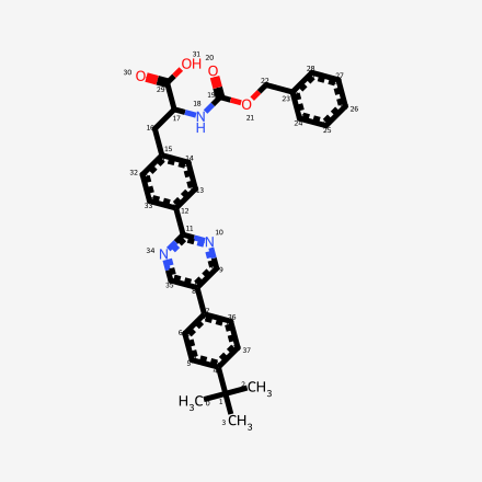 CC(C)(C)c1ccc(-c2cnc(-c3ccc(CC(NC(=O)OCc4ccccc4)C(=O)O)cc3)nc2)cc1